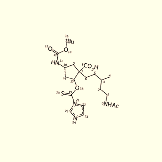 CC(=O)NCCC(C)CCC1(C(=O)O)CC(NC(=O)OC(C)(C)C)CC1OC(=S)n1ccnc1